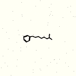 CC(C)C[CH]CCCCc1ccccc1